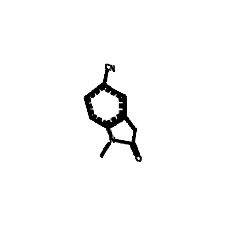 CN1C(=O)Cc2cc(C#N)ccc21